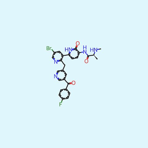 CN[C@@H](C)C(=O)Nc1ccc(-c2cc(Br)cnc2Cc2cncc(C(=O)c3ccc(F)cc3)c2)[nH]c1=O